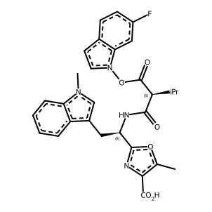 Cc1oc([C@@H](Cc2cn(C)c3ccccc23)NC(=O)[C@@H](C(=O)On2ccc3ccc(F)cc32)C(C)C)nc1C(=O)O